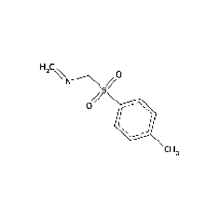 C=NCS(=O)(=O)c1ccc(C)cc1